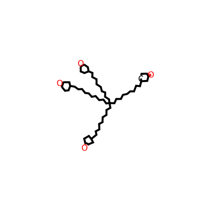 C(CCCCCC(CCCCCCCCCC1CCC2OC2C1)(CCCCCCCCCC1CCC2OC2C1)CCCCCCCCCC1CCC2OC2C1)CCCCC1CCC2OC2C1